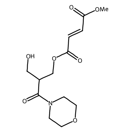 COC(=O)/C=C/C(=O)OCC(CO)C(=O)N1CCOCC1